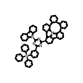 c1ccc([Si](c2ccccc2)(c2ccccc2)c2cccc(-c3nc(-c4ccc5c6cccc7c8ccccc8c8ccccc8c8cccc9c4c5n(c76)c89)nc(-n4c5ccccc5c5ccccc54)n3)c2)cc1